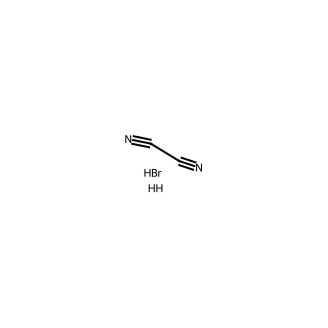 Br.N#CC#N.[HH]